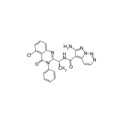 C[C@H](NC(=O)c1c(N)nn2nnccc12)c1nc2cccc(Cl)c2c(=O)n1-c1ccccc1